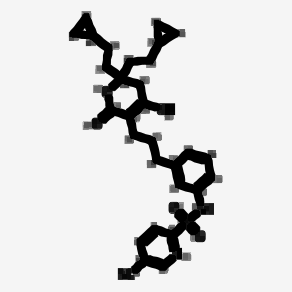 N#Cc1ccc(S(=O)(=O)Nc2cccc(CCCC3=C(O)CC(CCC4CC4)(CCC4CC4)OC3=O)c2)nc1